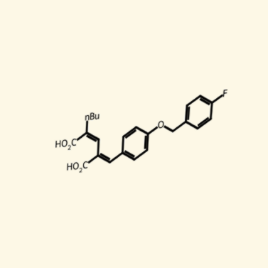 CCCCC(=CC(=Cc1ccc(OCc2ccc(F)cc2)cc1)C(=O)O)C(=O)O